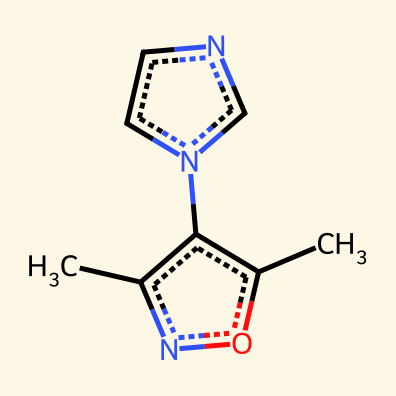 Cc1noc(C)c1-n1ccnc1